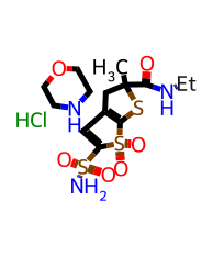 C1COCCN1.CCNC(=O)C1(C)CC2=C(S1)S(=O)(=O)C(S(N)(=O)=O)=C2.Cl